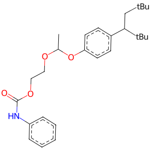 CC(OCCOC(=O)Nc1ccccc1)Oc1ccc(C(CC(C)(C)C)C(C)(C)C)cc1